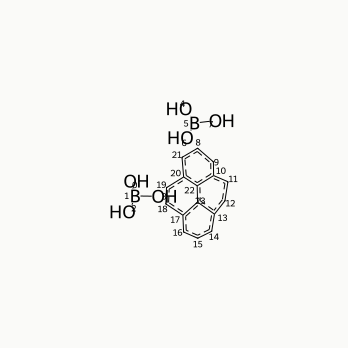 OB(O)O.OB(O)O.c1cc2ccc3cccc4ccc(c1)c2c34